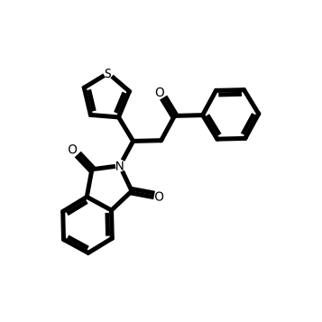 O=C(CC(c1ccsc1)N1C(=O)c2ccccc2C1=O)c1ccccc1